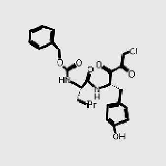 CC(C)C[C@H](NC(=O)OCc1ccccc1)C(=O)N[C@@H](Cc1ccc(O)cc1)C(=O)C(=O)CCl